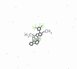 CCCC1=Cc2c(ccc(CCC)c2-c2cc(C(F)(F)F)cc(C(F)(F)F)c2)[CH]1[Zr]([Cl])([Cl])[c]1cccc2c1[SiH2]c1ccccc1-2